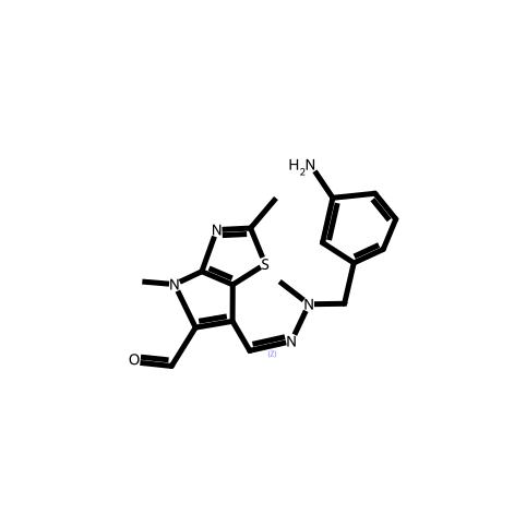 Cc1nc2c(s1)c(/C=N\N(C)Cc1cccc(N)c1)c(C=O)n2C